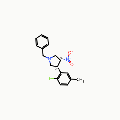 Cc1ccc(F)c([C@H]2CN(Cc3ccccc3)C[C@@H]2[N+](=O)[O-])c1